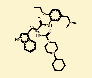 CCOc1ccc(CN(C)C)cc1NC(=O)[C@H](NC(=O)N1CCN(C2CCCCC2)CC1)[C@@H](C)c1c[nH]c2ccccc12